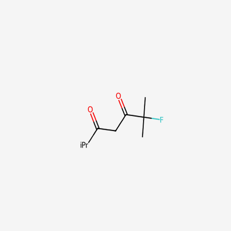 CC(C)C(=O)CC(=O)C(C)(C)F